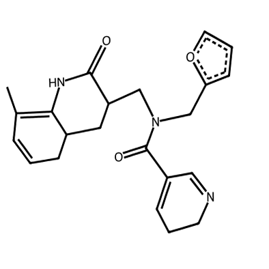 CC1=C2NC(=O)C(CN(Cc3ccco3)C(=O)C3=CCCN=C3)CC2CC=C1